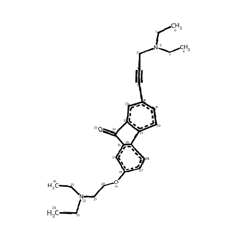 CCN(CC)CC#Cc1ccc2c(c1)C(=O)c1cc(OCCN(CC)CC)ccc1-2